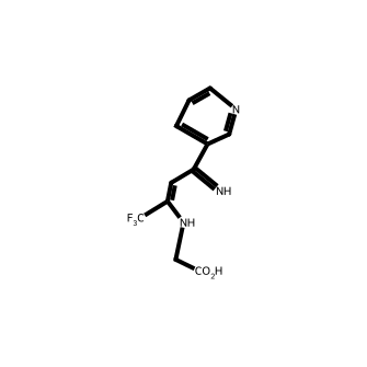 N=C(/C=C(\NCC(=O)O)C(F)(F)F)c1cccnc1